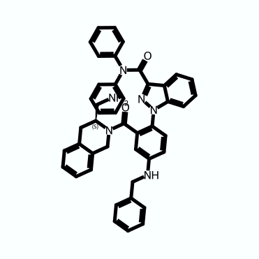 NC[C@@H]1Cc2ccccc2CN1C(=O)c1cc(NCc2ccccc2)ccc1-n1nc(C(=O)N(c2ccccc2)c2ccccc2)c2ccccc21